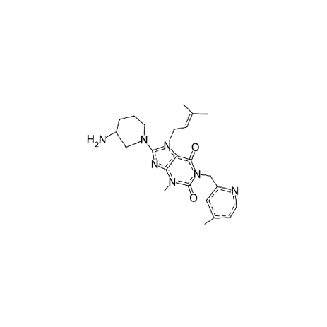 CC(C)=CCn1c(N2CCCC(N)C2)nc2c1c(=O)n(Cc1cc(C)ccn1)c(=O)n2C